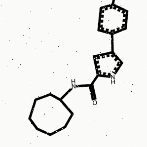 O=C(NC1CCCCCCC1)c1cc(-c2ccc(F)cc2)c[nH]1